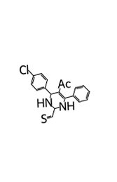 CC(=O)C1=C(c2ccccc2)NC(C=S)NC1c1ccc(Cl)cc1